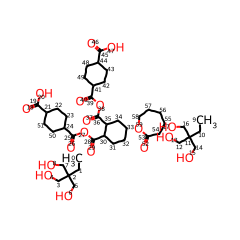 CCC(CO)(CO)CO.CCC(CO)(CO)CO.O=C(O)C1CCC(C(=O)OC(=O)C2CCCCC2C(=O)OC(=O)C2CCC(C(=O)O)CC2)CC1.O=C1CCCCCO1